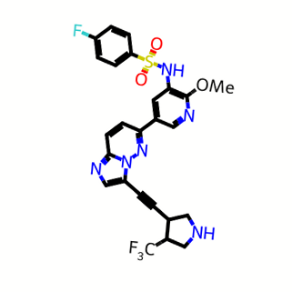 COc1ncc(-c2ccc3ncc(C#CC4CNCC4C(F)(F)F)n3n2)cc1NS(=O)(=O)c1ccc(F)cc1